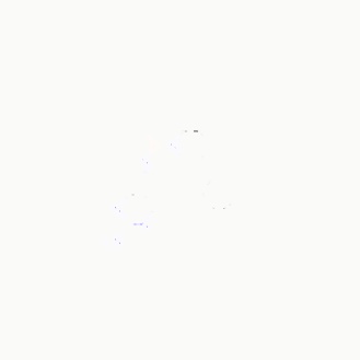 [CH2]CO/N=C1\CC(c2ccc(F)cc2-c2cccnc2)Cc2nc(N)nc(C)c21